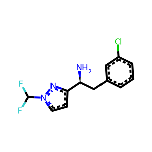 N[C@@H](Cc1cccc(Cl)c1)c1ccn(C(F)F)n1